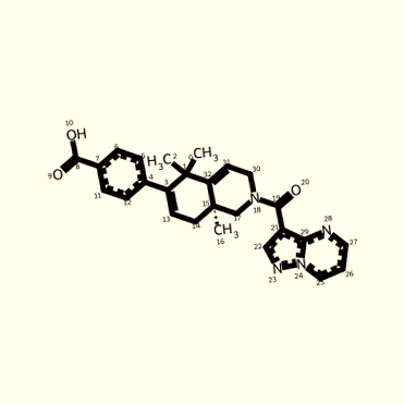 CC1(C)C(c2ccc(C(=O)O)cc2)=CC[C@]2(C)CN(C(=O)c3cnn4cccnc34)CC=C12